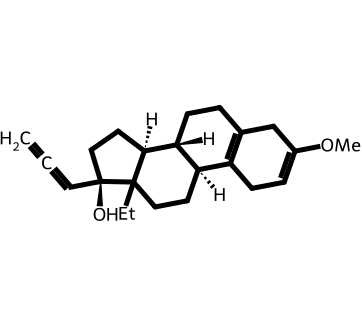 C=C=C[C@]1(O)CC[C@H]2[C@@H]3CCC4=C(CC=C(OC)C4)[C@H]3CCC21CC